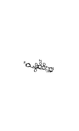 O=C(NCc1ccc(F)cc1)c1cn2c(c(O)c1=O)C(=O)N(Cc1cccnc1)C(O)C2